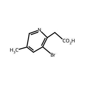 Cc1cnc(CC(=O)O)c(Br)c1